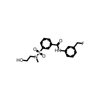 CN(CCO)S(=O)(=O)c1cccc(C(=O)Nc2cccc(CF)c2)c1